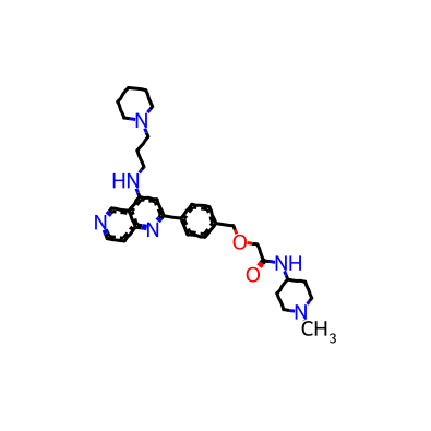 CN1CCC(NC(=O)COCc2ccc(-c3cc(NCCCN4CCCCC4)c4cnccc4n3)cc2)CC1